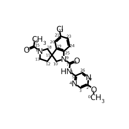 COc1cnc(NC(=O)N2CC3(CCN(C(C)=O)C3)c3cc(Cl)ccc32)cn1